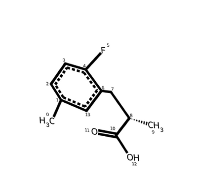 Cc1ccc(F)c(C[C@H](C)C(=O)O)c1